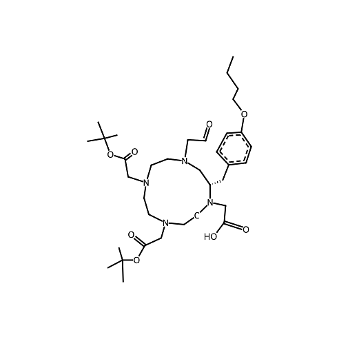 CCCCOc1ccc(C[C@H]2CN(CC=O)CCN(CC(=O)OC(C)(C)C)CCN(CC(=O)OC(C)(C)C)CCN2CC(=O)O)cc1